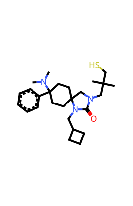 CN(C)C1(c2ccccc2)CCC2(CC1)CN(CC(C)(C)CS)C(=O)N2CC1CCC1